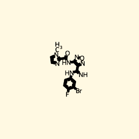 Cn1ccnc1C(=O)Nc1nonc1C(=N)Nc1ccc(F)c(Br)c1